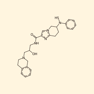 O=C(NCC(O)CN1CCc2ccccc2C1)c1cn2c(n1)CCC(N(S)c1ccccc1)C2